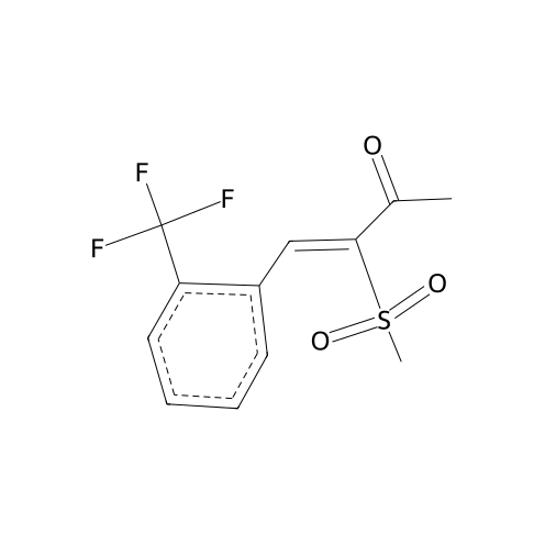 CC(=O)C(=Cc1ccccc1C(F)(F)F)S(C)(=O)=O